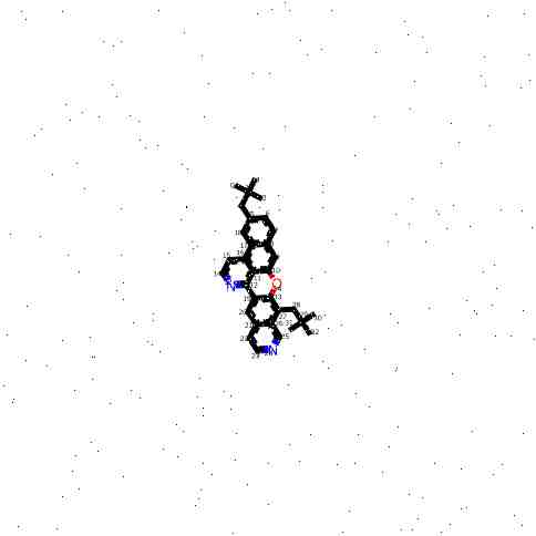 CC(C)(C)Cc1ccc2cc3c4c(nccc4c2c1)-c1cc2ccncc2c(CC(C)(C)C)c1O3